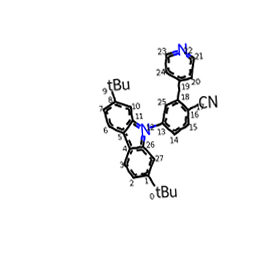 CC(C)(C)c1ccc2c3ccc(C(C)(C)C)cc3n(-c3ccc(C#N)c(-c4ccncc4)c3)c2c1